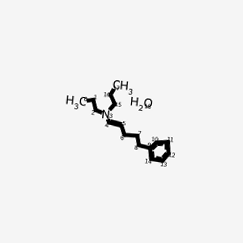 CCCN(C=CCCCc1ccccc1)CCC.O